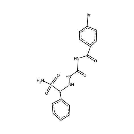 NS(=O)(=O)N(NNC(=O)NC(=O)c1ccc(Br)cc1)c1ccccc1